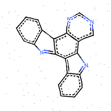 c1ccc2c(c1)N=c1c-2c2ncncc2c2c1=c1ccccc1=N2